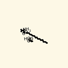 CCCCCCCCCCCCCCCCOC(=O)C(N)C(C)C.CCS(=O)(=O)O